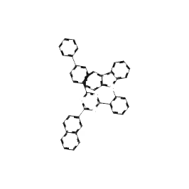 c1ccc(-c2ccc(-c3nc(-c4ccc5ccccc5c4)nc(-c4ccccc4-n4c5ccccc5c5ccccc54)n3)cc2)cc1